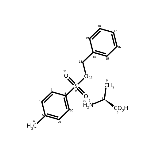 C[C@H](N)C(=O)O.Cc1ccc(S(=O)(=O)OCc2ccccc2)cc1